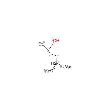 CCC(O)CC[SiH](OC)OC